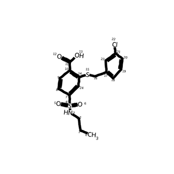 CCCNS(=O)(=O)c1ccc(C(=O)O)c(SCc2cccc(Cl)c2)c1